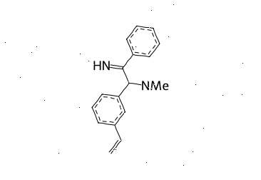 C=Cc1cccc(C(NC)C(=N)c2ccccc2)c1